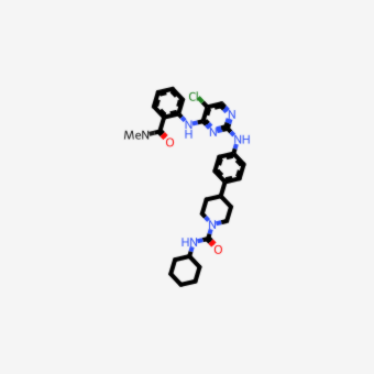 CNC(=O)c1ccccc1Nc1nc(Nc2ccc(C3CCN(C(=O)NC4CCCCC4)CC3)cc2)ncc1Cl